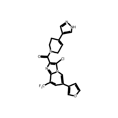 O=C(c1nc2c(C(F)(F)F)cc(-c3ccoc3)cn2c1Cl)N1CC=C(c2cn[nH]c2)CC1